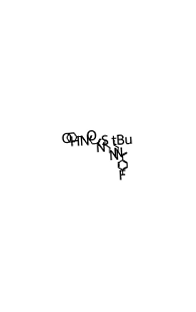 C=C(c1ccc(F)cc1)N(CCC(C)(C)C)/N=C\Cc1nc(CC(=O)NCC2CCOCC2)cs1